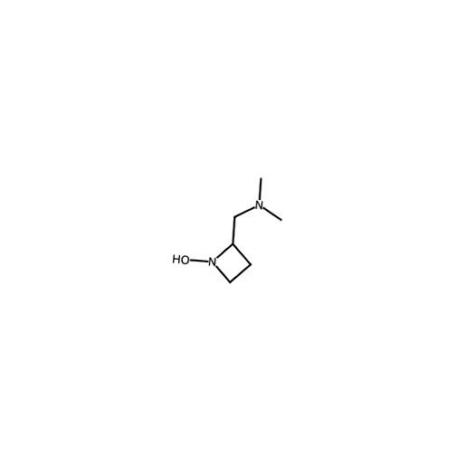 CN(C)CC1CCN1O